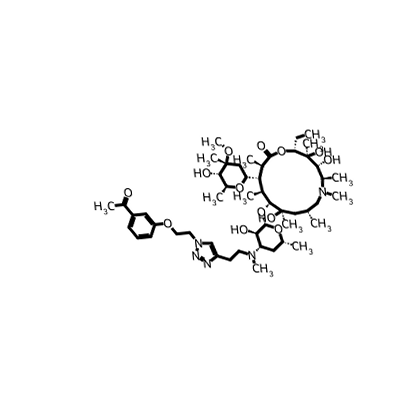 CC[C@H]1OC(=O)[C@H](C)[C@@H](C2C[C@@](C)(OC)[C@@H](O)[C@H](C)O2)[C@H](C)[C@@H](O[C@@H]2O[C@H](C)C[C@H](N(C)CCc3cn(CCOc4cccc(C(C)=O)c4)nn3)[C@H]2O)[C@](C)(O)C[C@@H](C)CN(C)[C@H](C)[C@@H](O)[C@]1(C)O